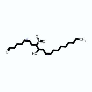 CCCCCCCC/C=C\CC(O)C(C/C=C\CCC[C]=O)[N+](=O)[O-]